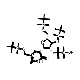 CC(C)(C[C@H]1C(O[Si](C)(C)C(C)(C)C)[C@@H](CO[Si](C)(C)C(C)(C)C)O[C@H]1c1cn(CO[Si](C)(C)C(C)(C)C)c(=O)[nH]c1=O)[Si](C)(C)O